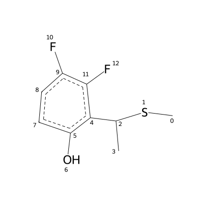 CSC(C)c1c(O)ccc(F)c1F